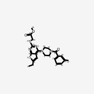 CCc1cc2c(N3CCN(C(=O)c4cccc(C)c4)CC3)nc(SCC(=O)OC)nc2s1